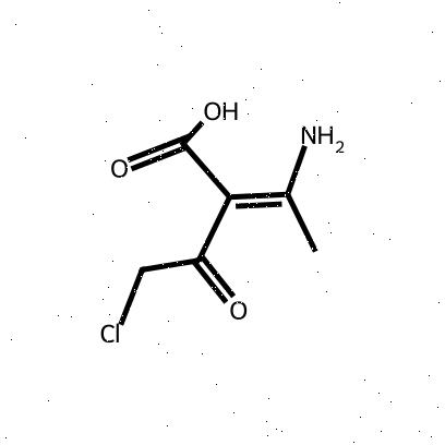 C/C(N)=C(/C(=O)O)C(=O)CCl